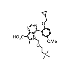 COc1ccc(OCC2CC2)c(-c2ncnc3c(C(=O)O)c(C)n(COCC[Si](C)(C)C)c23)c1